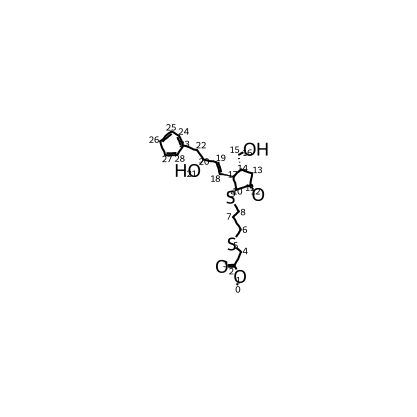 COC(=O)CSCCCS[C@H]1C(=O)C[C@@H](CO)[C@@H]1/C=C/[C@H](O)Cc1ccccc1